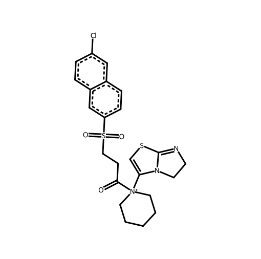 O=C(CCS(=O)(=O)c1ccc2cc(Cl)ccc2c1)[N+]1(C2=CSC3=NCCN23)CCCCC1